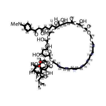 CNc1ccc(C(=O)C[C@H](O)CC[C@H](C)[C@]2(O)C[C@@H](O)C[C@H](O)C[C@]3(O)C[C@H](O)[C@@H](C(=O)Oc4c(F)c(F)c(F)c(F)c4F)C(C[C@@H](O[C@@H]4O[C@H](C)[C@@H](O)[C@H](NC(=O)CN(C)C)[C@@H]4O)/C=C/C=C/C=C/C=C\C=C/C=C/C=C/CCOC(=O)C[C@H](O)CC(=O)C[C@@H](O)C2C)O3)cc1